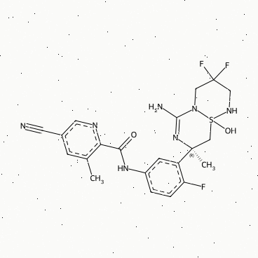 Cc1cc(C#N)cnc1C(=O)Nc1ccc(F)c([C@]2(C)CS3(O)NCC(F)(F)CN3C(N)=N2)c1